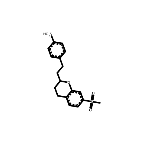 CS(=O)(=O)c1ccc2c(c1)OC(CCc1ccc(S(=O)(=O)O)cc1)CC2